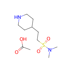 CC(=O)O.CN(C)S(=O)(=O)CCC1CCNCC1